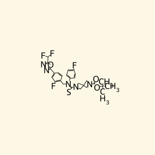 CC(C)(C)OC(=O)N1CC2(C1)CN(C(=S)N(Cc1ccc(-c3nnc(C(F)F)o3)cc1F)c1ccc(F)cc1)C2